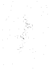 C[C@@H]1CC=C(c2ccc(C3=CCCC=C3)cc2)CC1n1c2c(c3cc(C4=CCC5N(c6ccc7c(c6)CCC=C7)c6ccccc6[C@]5(C)C4)ccc31)C=CCC2